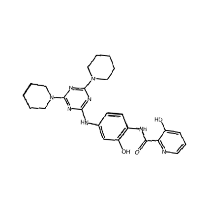 O=C(Nc1ccc(Nc2nc(N3CCCCC3)nc(N3CCCCC3)n2)cc1O)c1ncccc1O